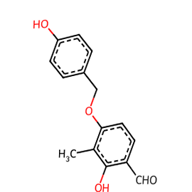 Cc1c(OCc2ccc(O)cc2)ccc(C=O)c1O